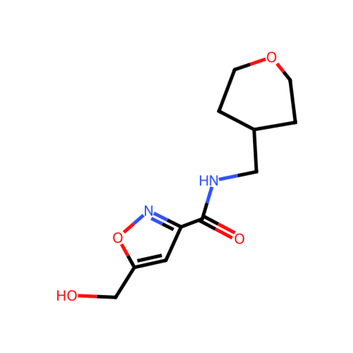 O=C(NCC1CCOCC1)c1cc(CO)on1